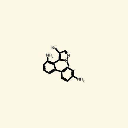 Cn1ncc(Br)c1-c1c(N)cccc1-c1ccc(N)cc1